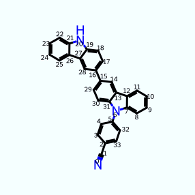 N#Cc1ccc(-n2c3ccccc3c3cc(-c4ccc5[nH]c6ccccc6c5c4)ccc32)cc1